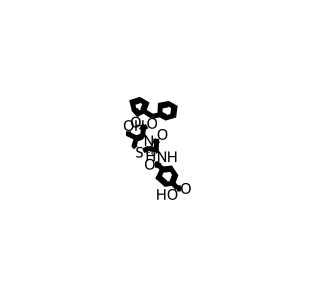 O=C(OC(c1ccccc1)c1ccccc1)C1=C(CO)CS[C@H]2[C@@H](NC(=O)c3ccc(C(=O)O)cc3)C(=O)N12